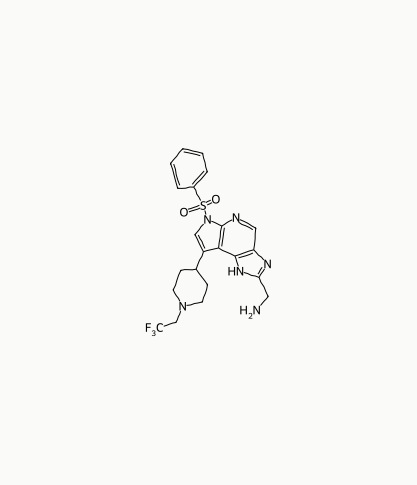 NCc1nc2cnc3c(c(C4CCN(CC(F)(F)F)CC4)cn3S(=O)(=O)c3ccccc3)c2[nH]1